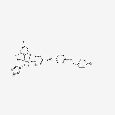 CCc1ccc(COc2ccc(C#Cc3ccc(C(F)(F)C(O)(Cn4cnnn4)c4ccc(F)cc4F)nc3)cc2)cc1